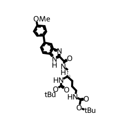 COc1ccc(-c2ccc3[nH]c(C(=O)NC[C@H](CCCNC(=O)OC(C)(C)C)NC(=O)OC(C)(C)C)nc3c2)cc1